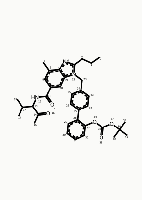 CCCc1nc2c(C)cc(C(=O)NC(C(C)=O)C(C)C)cc2n1Cc1ccc(-c2ccccc2OC(=O)OC(C)(C)C)cc1